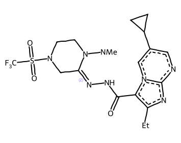 CCc1nc2ncc(C3CC3)cn2c1C(=O)N/N=C1/CN(S(=O)(=O)C(F)(F)F)CCN1NC